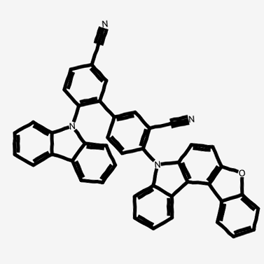 N#Cc1ccc(-n2c3ccccc3c3ccccc32)c(-c2ccc(-n3c4ccccc4c4c5c(ccc43)oc3ccccc35)c(C#N)c2)c1